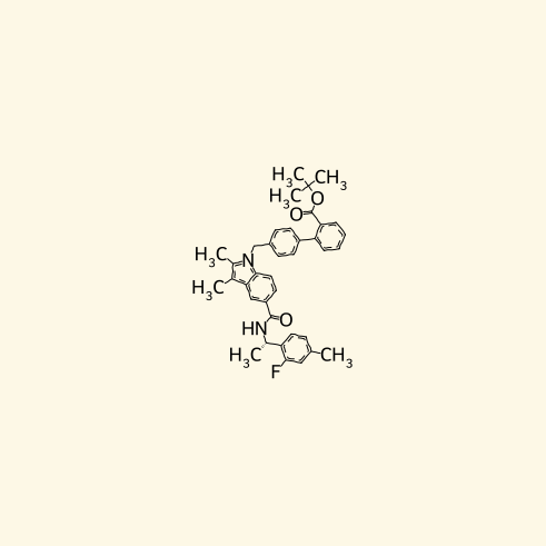 Cc1ccc([C@H](C)NC(=O)c2ccc3c(c2)c(C)c(C)n3Cc2ccc(-c3ccccc3C(=O)OC(C)(C)C)cc2)c(F)c1